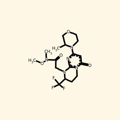 CON(C)C(=O)CN1c2nc(N3CCOCC3C)cc(=O)n2CCC1C(F)(F)F